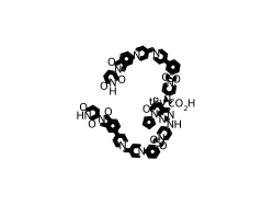 CC(C)(C)N(C(=O)O)C1CCN(S(=O)(=O)c2cccc(C3CCN(CC4CCN(c5ccc6c(c5)CN(C5CCC(=O)NC5=O)C6=O)CC4)CC3)c2)CC1.O=C1CCC(N2Cc3cc(C4CCN(CC5CCN(c6cccc(S(=O)(=O)N7CCC(Nc8ncc9ccc(=O)n(C%10CCCC%10)c9n8)CC7)c6)CC5)CC4)ccc3C2=O)C(=O)N1